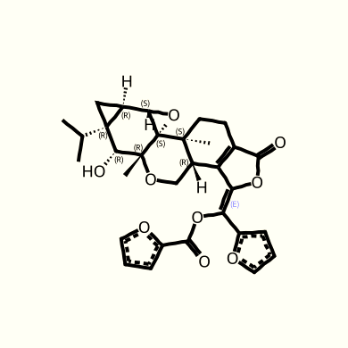 CC(C)[C@]12C[C@H]1[C@@H]1O[C@@]13[C@@]1(C)CCC4=C(/C(=C(\OC(=O)c5ccco5)c5ccco5)OC4=O)[C@@H]1CO[C@]3(C)[C@@H]2O